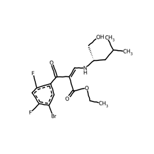 CCOC(=O)C(=CN[C@H](CO)CC(C)C)C(=O)c1cc(Br)c(F)cc1F